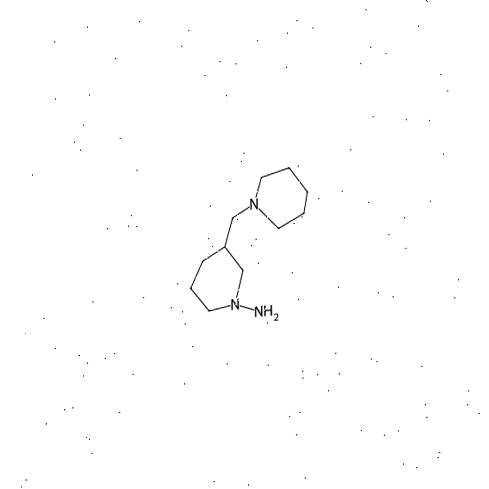 NN1CCCC(CN2CCCCC2)C1